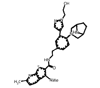 CNc1c(C(=O)NCCc2ccc(N3CC4CCC(C3)N4)c(-c3cnn(CCO)c3)c2)sc2nc(C)ccc12